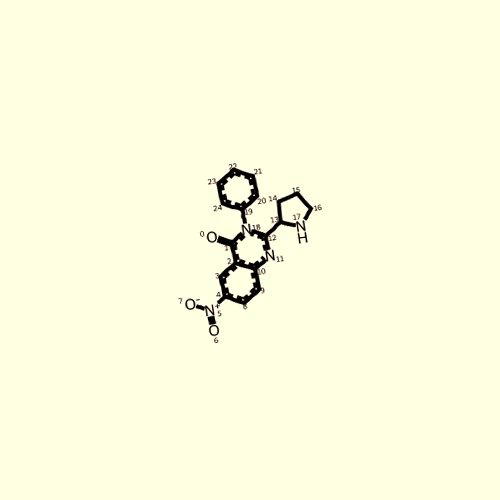 O=c1c2cc([N+](=O)[O-])ccc2nc(C2CCCN2)n1-c1ccccc1